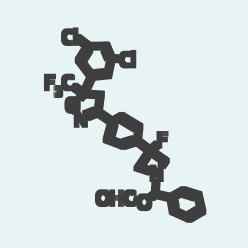 O=COC(c1ccccc1)N1CC(F)(c2ccc(C3=NOC(c4cc(Cl)cc(Cl)c4)(C(F)(F)F)C3)cc2)C1